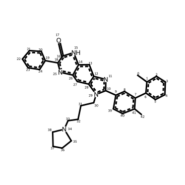 Cc1ccccc1-c1cc(-c2nc3cc4[nH]c(=O)c(-c5ccccc5)nc4cc3n2CCCCN2CCCC2)ccc1C